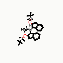 C[SiH](C)[SiH](C1C(O[Si](C)(C)C(C)(C)C)=Cc2ccccc21)C1C(O[Si](C)(C)C(C)(C)C)=Cc2ccccc21